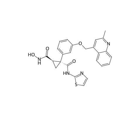 Cc1cc(COc2cccc([C@@]3(C(=O)Nc4nccs4)C[C@H]3C(=O)NO)c2)c2ccccc2n1